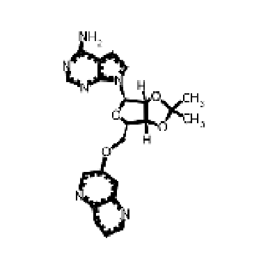 CC1(C)O[C@@H]2[C@H](O1)[C@@H](COc1cnc3cccnc3c1)O[C@H]2n1ccc2c(N)ncnc21